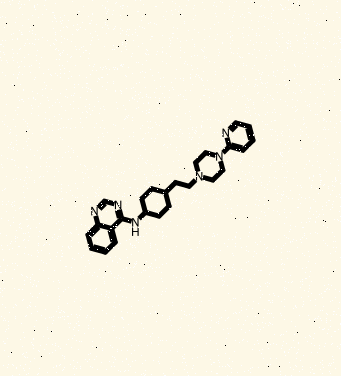 c1ccc(N2CCN(CCC3CCC(Nc4ncnc5ccccc45)CC3)CC2)nc1